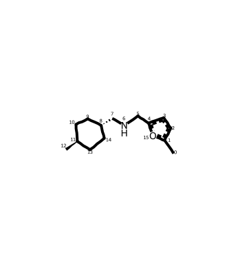 Cc1ccc(CNC[C@H]2CC[C@H](C)CC2)o1